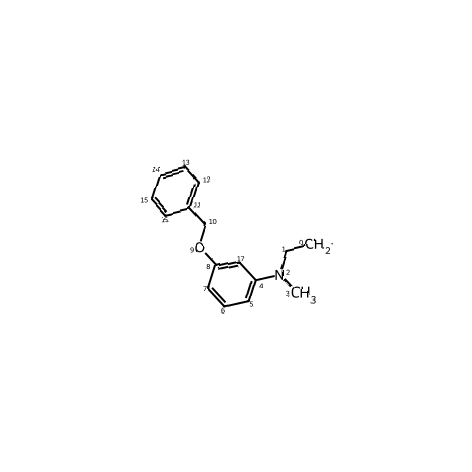 [CH2]CN(C)c1cccc(OCc2ccccc2)c1